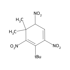 CC(C)(C)C1=C([N+](=O)[O-])C(C)(C)C([N+](=O)[O-])C=C1[N+](=O)[O-]